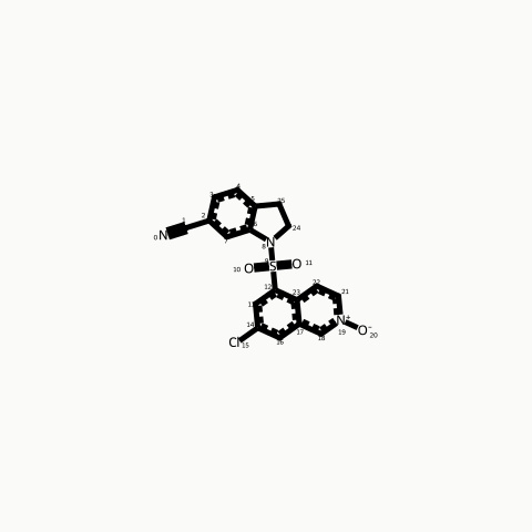 N#Cc1ccc2c(c1)N(S(=O)(=O)c1cc(Cl)cc3c[n+]([O-])ccc13)CC2